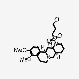 COc1ccc2c(c1OC)CCN1C[C@@H]3CCCN(S(=O)(=O)CCCCl)[C@@H]3C[C@@H]21